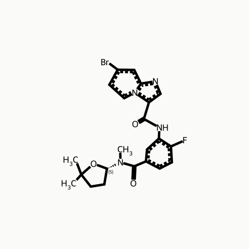 CN(C(=O)c1ccc(F)c(NC(=O)c2cnc3cc(Br)ccn23)c1)[C@@H]1CCC(C)(C)O1